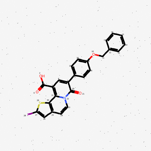 O=C(O)c1cc(-c2ccc(OCc3ccccc3)cc2)c(=O)n2ccc3cc(I)sc3c12